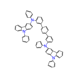 c1ccc(N(c2cccc(-c3ccc(-c4cccc(N(c5ccccc5)c5ccc6c(c5)c5ccccc5n6-c5ccccc5)c4)cc3)c2)c2ccc3c(c2)c2ccccc2n3-c2ccccc2)cc1